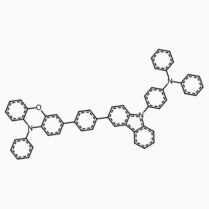 c1ccc(N(c2ccccc2)c2ccc(-n3c4ccccc4c4cc(-c5ccc(-c6ccc7c(c6)Oc6ccccc6N7c6ccccc6)cc5)ccc43)cc2)cc1